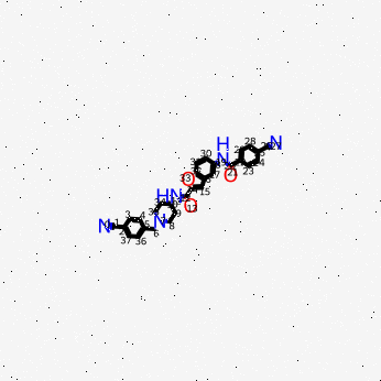 N#Cc1ccc(CN2CCC(NC(=O)c3cc4cc(NC(=O)c5ccc(C#N)cc5)ccc4o3)CC2)cc1